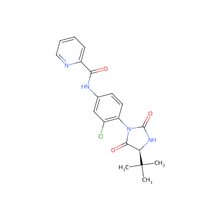 CC(C)(C)[C@@H]1NC(=O)N(c2ccc(NC(=O)c3ccccn3)cc2Cl)C1=O